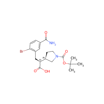 CC(C)(C)OC(=O)N1CC[C@H]([C@H](Cc2cc(C(N)=O)ccc2Br)C(=O)O)C1